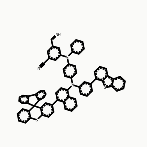 N#Cc1cc(C=N)cc(N(c2ccccc2)c2ccc(N(c3cccc(-c4cccc5c4sc4ccccc45)c3)c3ccc(-c4ccc5c(c4)C4(c6ccccc6S5)c5ccccc5-c5ccccc54)c4ccccc34)cc2)c1